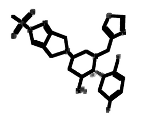 CS(=O)(=O)n1cc2c(n1)CN(C1CC(N)[C@@H](C3CC(F)=CC=C3F)N(Cc3cocn3)C1)C2